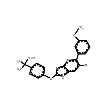 CC(=O)NC(C)(C)c1ccc(Oc2nc3nc(-c4cccc(OC(F)(F)F)c4)c(Cl)cc3[nH]2)cc1